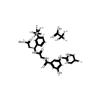 COC(=O)C[C@H](NC(=O)CNC(=O)c1cc(O)cc(NC2=NCC(F)CN2)c1)c1cccc(S(F)(F)(F)(F)F)c1.O=C(O)C(F)(F)F